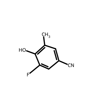 Cc1cc(C#N)cc(F)c1O